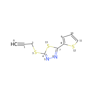 C#CCSc1nnc(-c2cccs2)s1